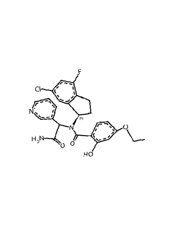 CCOc1ccc(C(=O)N(C(C(N)=O)c2cccnc2)[C@@H]2CCc3c(F)cc(Cl)cc32)c(O)c1